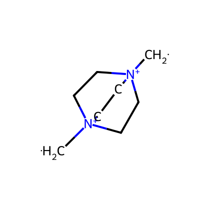 [CH2][N+]12CC[N+]([CH2])(CC1)CC2